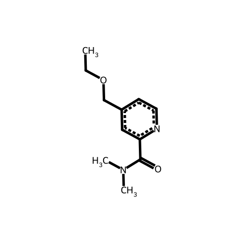 CCOCc1ccnc(C(=O)N(C)C)c1